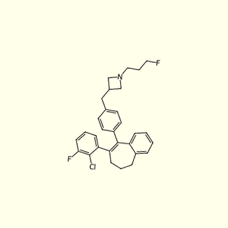 FCCCN1CC(Cc2ccc(C3=C(c4cccc(F)c4Cl)CCCc4ccccc43)cc2)C1